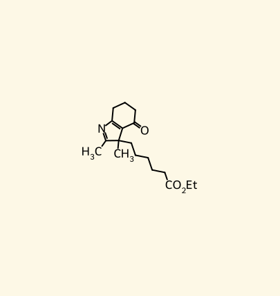 CCOC(=O)CCCCCC1(C)C(C)=NC2=C1C(=O)CCC2